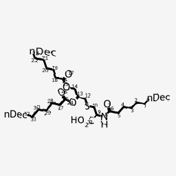 CCCCCCCCCCCCCCCC(=O)N[C@H](CSC[C@H](COC(=O)CCCCCCCCCCCCCCC)OC(=O)CCCCCCCCCCCCCCC)C(=O)O